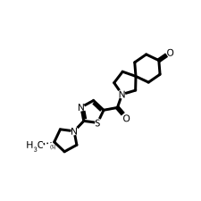 C[C@H]1CCN(c2ncc(C(=O)N3CCC4(CCC(=O)CC4)C3)s2)C1